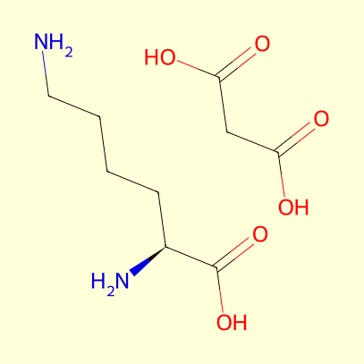 NCCCC[C@H](N)C(=O)O.O=C(O)CC(=O)O